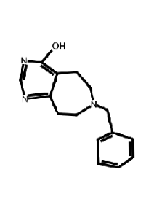 Oc1ncnc2c1CCN(Cc1ccccc1)CC2